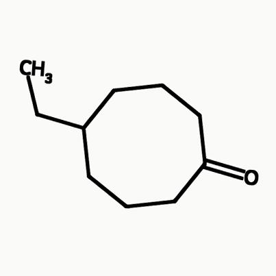 CCC1CCCC(=O)CCC1